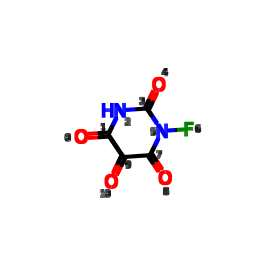 O=C1NC(=O)N(F)C(=O)C1=O